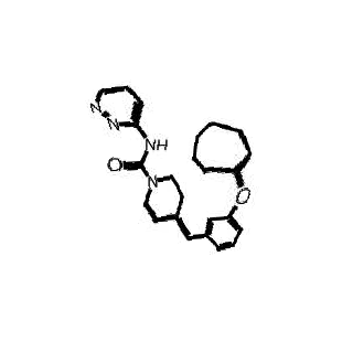 O=C(Nc1cccnn1)N1CCC(=Cc2cccc(OC3CCCCCC3)c2)CC1